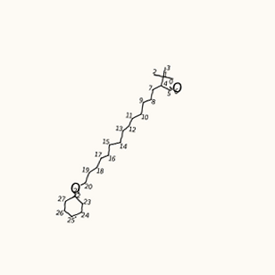 CC(C)(C)C([C]=O)CCCCCCCCCCCCCCOC1CC[CH]CC1